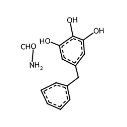 NC=O.Oc1cc(Cc2ccccc2)cc(O)c1O